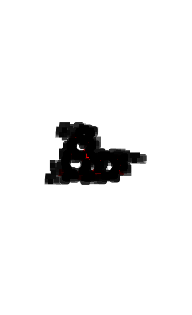 COC[C@H](O)[C@H]1OC(=O)CC2(O)CC(=O)OC[C@@H](O)[C@H]3OC(=O)C(O)(CC(=O)OC[C@H](O)[C@H]4OC(=O)C(O)(CC(=O)OC[C@H](O)[C@H]3O)CC(=O)O[C@H](COC)[C@H]4O)CC(=O)O[C@@H]([C@@H]3OC(=O)C(O)(CC(=O)OC[C@@H](O)[C@H]1O)CC(=O)OC[C@H](O)[C@H]1OC(=O)C(O)(CC(=O)OC[C@H]3O)CC(=O)OC[C@@H](OC)[C@H]1OC)[C@@H](O)COC2=O